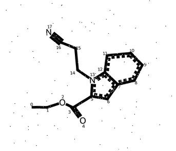 CCOC(=O)c1cc2ccccc2n1CCC#N